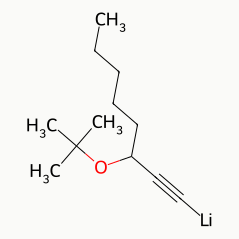 [Li][C]#CC(CCCCC)OC(C)(C)C